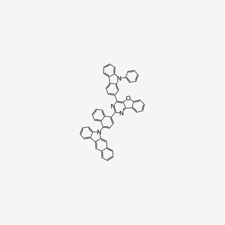 c1ccc(-n2c3ccccc3c3ccc(-c4nc(-c5ccc(-n6c7ccccc7c7cc8ccccc8cc76)c6ccccc56)nc5c4oc4ccccc45)cc32)cc1